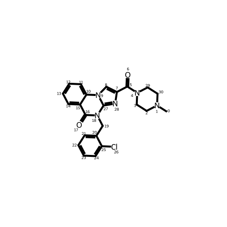 CN1CCN(C(=O)c2cn3c4ccccc4c(=O)n(Cc4ccccc4Cl)c3n2)CC1